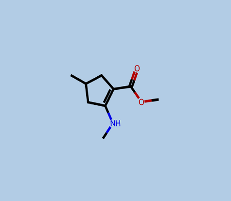 CNC1=C(C(=O)OC)CC(C)C1